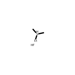 CC[SiH](C)C.F